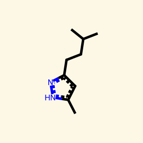 Cc1cc(CCC(C)C)n[nH]1